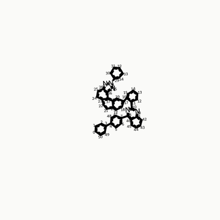 c1ccc(-c2ccc(-c3nc(-c4ccccc4-c4ccc5ccc6ccc7nn(-c8ccccc8)nc7c6c5c4)nc4ccccc34)cc2)cc1